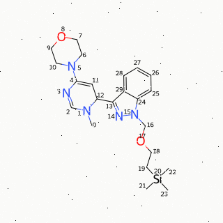 CN1C=NC(N2CCOCC2)=CC1c1nn(COCC[Si](C)(C)C)c2ccccc12